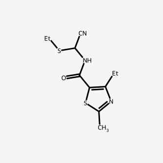 CCSC(C#N)NC(=O)c1sc(C)nc1CC